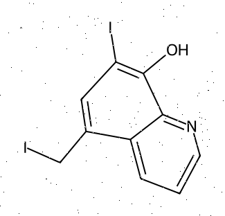 Oc1c(I)cc(CI)c2cccnc12